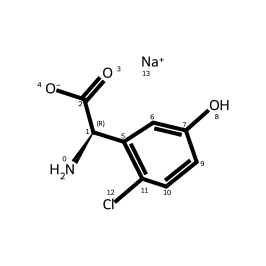 N[C@@H](C(=O)[O-])c1cc(O)ccc1Cl.[Na+]